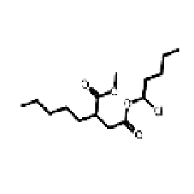 CCCCCC(CC(=O)OC(Cl)CCCC)C(=O)OC